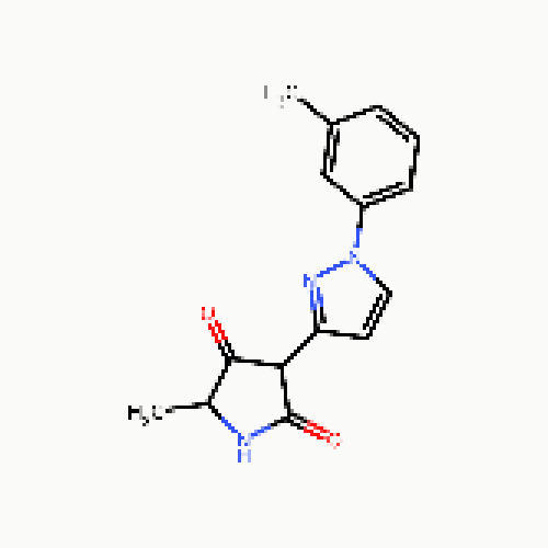 Cc1cccc(-n2ccc(C3C(=O)NC(C)C3=O)n2)c1